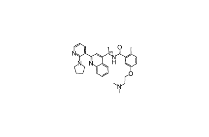 Cc1ccc(OCCN(C)C)cc1C(=O)N[C@H](C)c1cc(-c2cccnc2N2CCCC2)nc2ccccc12